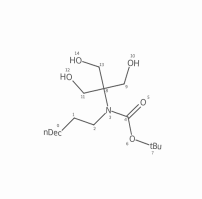 CCCCCCCCCCCCN(C(=O)OC(C)(C)C)C(CO)(CO)CO